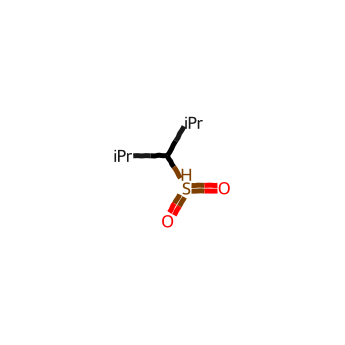 CC(C)C(C(C)C)[SH](=O)=O